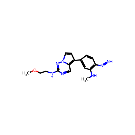 CNc1cc(-c2ccn3nc(NCCOC)ncc23)ccc1N=N